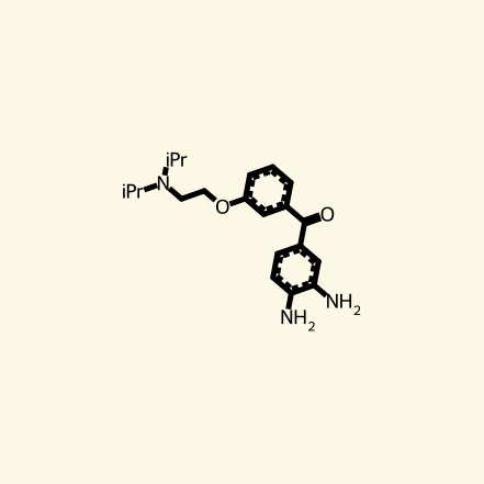 CC(C)N(CCOc1cccc(C(=O)c2ccc(N)c(N)c2)c1)C(C)C